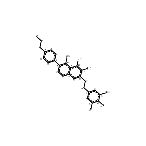 CCCc1ccc(-c2ccc3cc(CCc4cc(F)c(F)c(F)c4)c(F)c(F)c3c2F)cc1